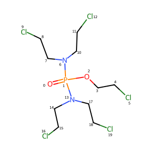 O=P(OCCCl)(N(CCCl)CCCl)N(CCCl)CCCl